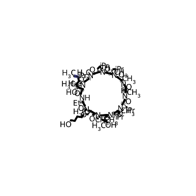 C/C=C/C[C@@H](C)[C@@H](O)[C@H]1C(=O)N[C@@H](CC)C(=O)N(C)[C@H](COCCCCO)C(=O)N(C)[C@@H](CC(C)(C)O)C(=O)N[C@@H](C(C)C)C(=O)N(C)[C@@H](CC(C)C)C(=O)N[C@@H](C)C(=O)N[C@H](C)C(=O)N(C)[C@@H](CC(C)C)C(=O)N(C)[C@@H](CC(C)C)C(=O)N(C)[C@@H](C(C)C)C(=O)N1C